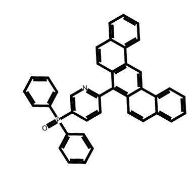 O=P(c1ccccc1)(c1ccccc1)c1ccc(-c2c3ccc4ccccc4c3cc3c2ccc2ccccc23)nc1